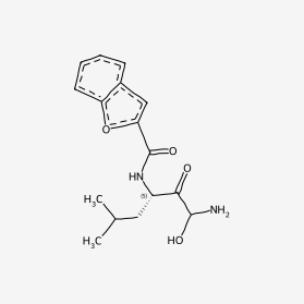 CC(C)C[C@H](NC(=O)c1cc2ccccc2o1)C(=O)C(N)O